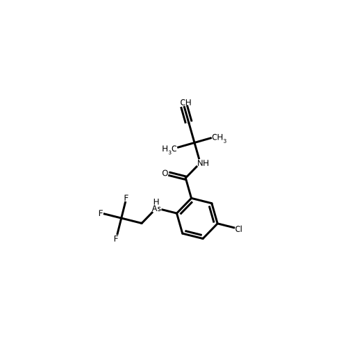 C#CC(C)(C)NC(=O)c1cc(Cl)ccc1[AsH]CC(F)(F)F